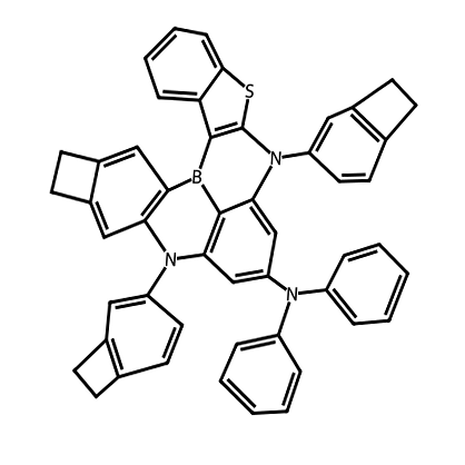 c1ccc(N(c2ccccc2)c2cc3c4c(c2)N(c2ccc5c(c2)CC5)c2sc5ccccc5c2B4c2cc4c(cc2N3c2ccc3c(c2)CC3)CC4)cc1